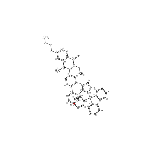 CCCCc1ncc(C(=O)OCC)c(N(C)Cc2ccc(-c3ccccc3-c3nnnn3C(c3ccccc3)(c3ccccc3)c3ccccc3)cc2)n1